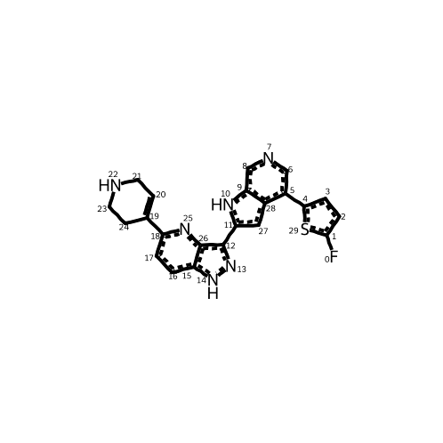 Fc1ccc(-c2cncc3[nH]c(-c4n[nH]c5ccc(C6=CCNCC6)nc45)cc23)s1